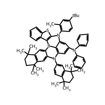 Cc1cc(C(C)(C)C)ccc1N1c2cc(N(c3ccccc3)c3ccccc3)cc3c2B(c2cc4c(cc2N3c2ccc3c(c2)C(C)(C)CCC3(C)C)C(C)(C)CCC4(C)C)c2c1sc1ccccc21